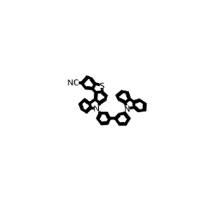 N#Cc1ccc2sc3ccc4c(c5ccccc5n4-c4cccc(-c5cccc(-n6c7ccccc7c7ccccc76)c5)c4)c3c2c1